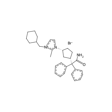 Cc1n([C@@H]2CC[C@H](C(C(N)=O)(c3ccccc3)c3ccccc3)C2)cc[n+]1CC1CCCCC1.[Br-]